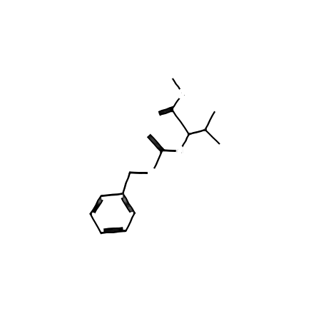 CNC(=O)C(NC(=O)OCc1ccccc1)C(C)C